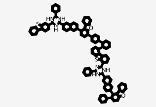 c1ccc(-c2ccc3oc4ccccc4c3c2-c2ccc3cc(C4NC(c5cccc6c5sc5cccc(-c7ccccc7-c7ccc(-c8ccc(-c9ccc%10cc(C%11NC(c%12ccccc%12)NC(c%12ccc%13c(c%12)sc%12ccccc%12%13)N%11)ccc%10c9)c9c8oc8ccccc89)cc7)c56)=NC(c5ccccc5)N4)ccc3c2)cc1